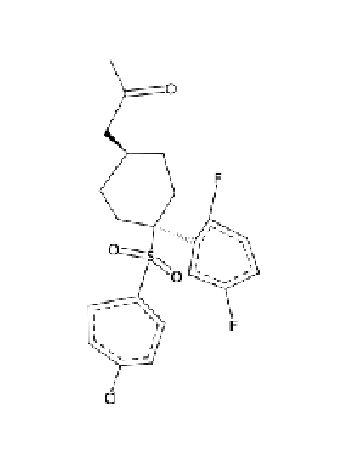 CC(=O)C[C@H]1CC[C@@](c2cc(F)ccc2F)(S(=O)(=O)c2ccc(Cl)cc2)CC1